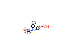 Cc1sc(N(Cc2ccc(OCCO)cc2)c2ccc(C#N)cc2)nc1C(=O)NS(C)(=O)=O